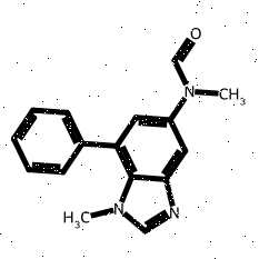 CN(C=O)c1cc(-c2ccccc2)c2c(c1)ncn2C